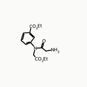 CCOC(=O)CN(C(=O)CN)c1cccc(C(=O)OCC)c1